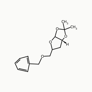 CC1(C)OC2OC(COCc3ccccc3)C[C@H]2O1